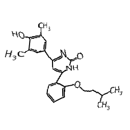 Cc1cc(-c2cc(-c3ccccc3OCCC(C)C)[nH]c(=O)n2)cc(C)c1O